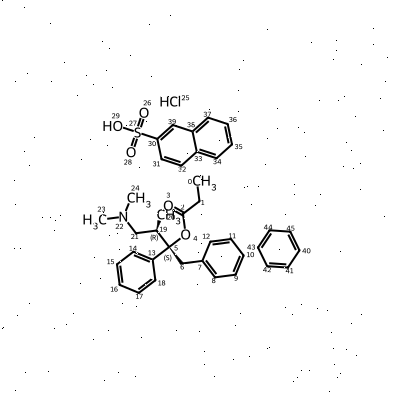 CCC(=O)O[C@](Cc1ccccc1)(c1ccccc1)[C@H](C)CN(C)C.Cl.O=S(=O)(O)c1ccc2ccccc2c1.c1ccccc1